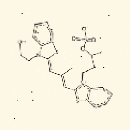 CC(=Cc1sc2ccccc2[n+]1CCC(C)OS(=O)(=O)[O-])C=C1Sc2ccccc2N1CCO